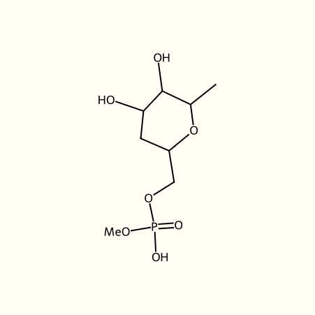 COP(=O)(O)OCC1CC(O)C(O)C(C)O1